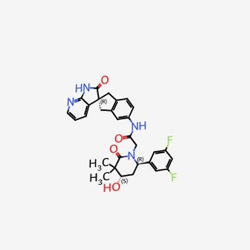 CC1(C)C(=O)N(CC(=O)Nc2ccc3c(c2)C[C@@]2(C3)C(=O)Nc3ncccc32)[C@@H](c2cc(F)cc(F)c2)C[C@@H]1O